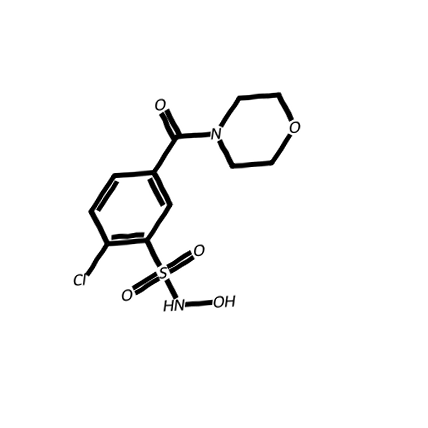 O=C(c1ccc(Cl)c(S(=O)(=O)NO)c1)N1CCOCC1